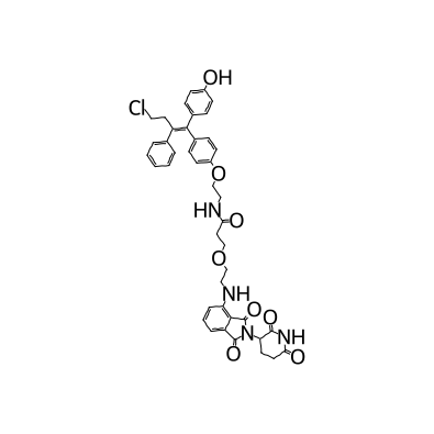 O=C(CCOCCNc1cccc2c1C(=O)N(C1CCC(=O)NC1=O)C2=O)NCCOc1ccc(C(=C(CCCl)c2ccccc2)c2ccc(O)cc2)cc1